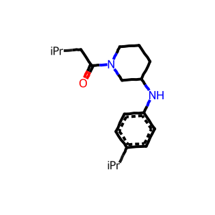 CC(C)CC(=O)N1CCCC(Nc2ccc(C(C)C)cc2)C1